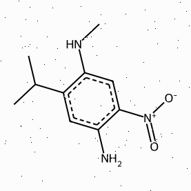 CNc1cc([N+](=O)[O-])c(N)cc1C(C)C